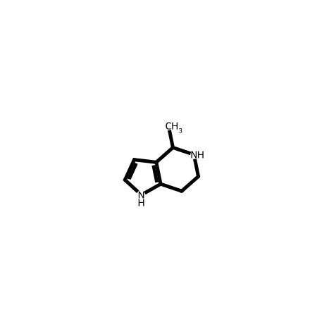 CC1NCCc2[nH]ccc21